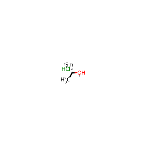 CCO.Cl.[Sm]